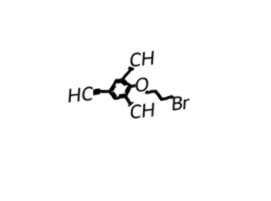 C#Cc1cc(C#C)c(OCCCCBr)c(C#C)c1